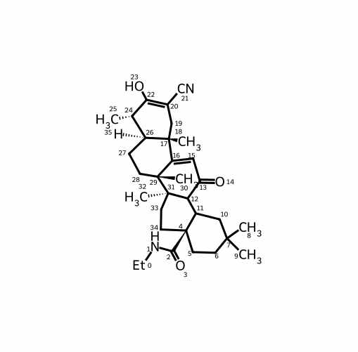 CCNC(=O)[C@]12CCC(C)(C)CC1C1C(=O)C=C3[C@@]4(C)CC(C#N)=C(O)[C@@H](C)[C@@H]4CC[C@@]3(C)[C@]1(C)CC2